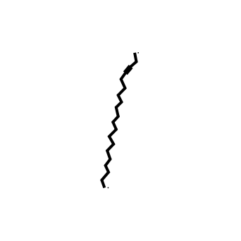 [CH2]CC#CCCCCCCCCCCCCCCC[CH2]